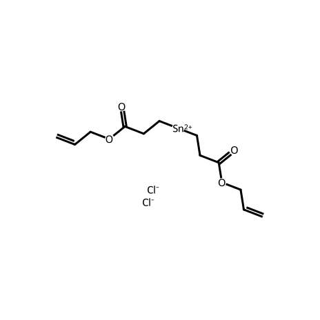 C=CCOC(=O)C[CH2][Sn+2][CH2]CC(=O)OCC=C.[Cl-].[Cl-]